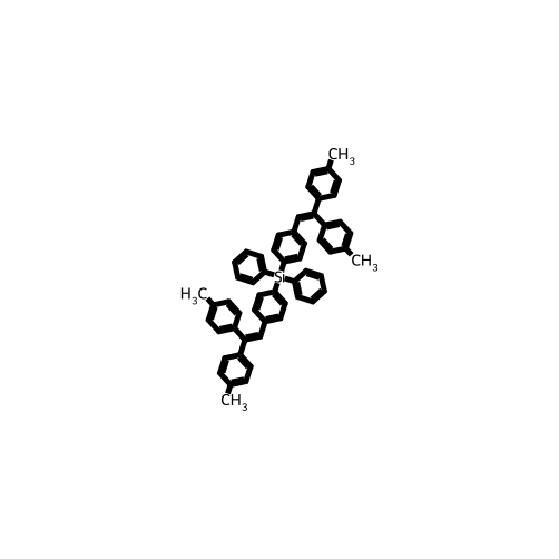 Cc1ccc(C(=Cc2ccc([Si](c3ccccc3)(c3ccccc3)c3ccc(C=C(c4ccc(C)cc4)c4ccc(C)cc4)cc3)cc2)c2ccc(C)cc2)cc1